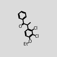 CCOc1ccc(C(C)C(=O)c2ccccc2)c(Cl)c1Cl